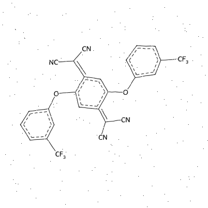 N#CC(C#N)=c1cc(Oc2cccc(C(F)(F)F)c2)c(=C(C#N)C#N)cc1Oc1cccc(C(F)(F)F)c1